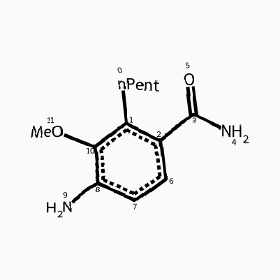 CCCCCc1c(C(N)=O)ccc(N)c1OC